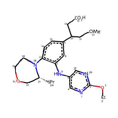 CCOc1ncc(Nc2cc(C(COC)CC(=O)O)ccc2N2CCOC[C@H]2C(C)C)cn1